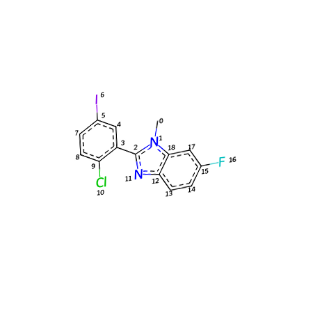 Cn1c(-c2cc(I)ccc2Cl)nc2ccc(F)cc21